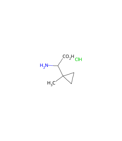 CC1(C(N)C(=O)O)CC1.Cl